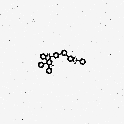 c1ccc(-c2nc3cc(-c4cccc(-c5ccc(-c6nc7ccccc7c7c(-c8ccccc8)c8c(cc67)oc6ccccc68)cc5)c4)ccc3s2)cc1